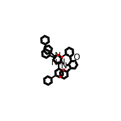 c1ccc(-c2ccc(-n3c4ccccc4c4ccc5oc6cccc(-c7nc(-c8cccc(-c9ccccc9)c8)nc(-c8cccc(-c9ccccc9)c8)n7)c6c5c43)cc2)cc1